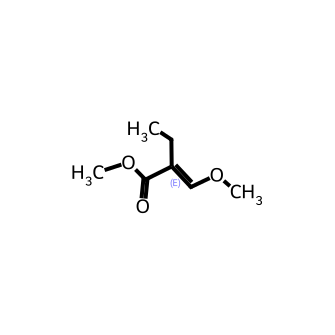 CC/C(=C\OC)C(=O)OC